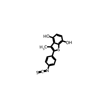 Cc1c(-c2ccc(N=C=S)cc2)sc2c(O)ccc(O)c12